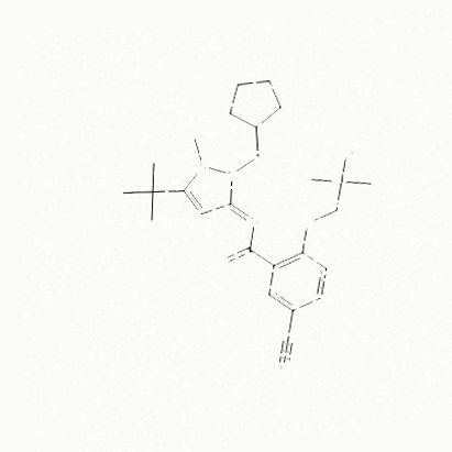 Cn1c(C(C)(C)C)c/c(=N\C(=O)c2cc(C#N)ccc2OCC(C)(C)O)n1CC1CCCC1